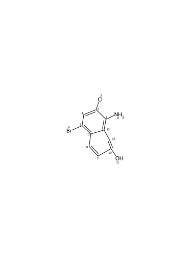 Nc1c(Cl)cc(Br)c2ccc(O)cc12